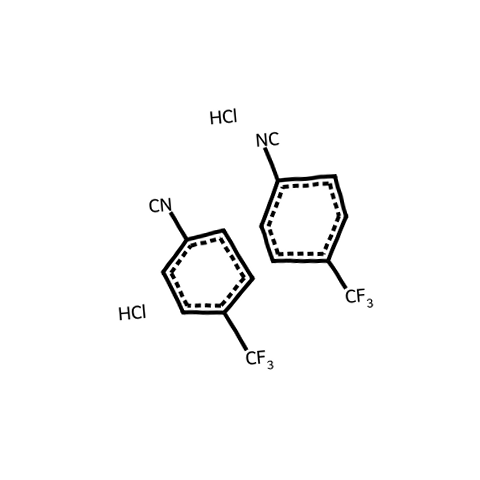 Cl.Cl.[C-]#[N+]c1ccc(C(F)(F)F)cc1.[C-]#[N+]c1ccc(C(F)(F)F)cc1